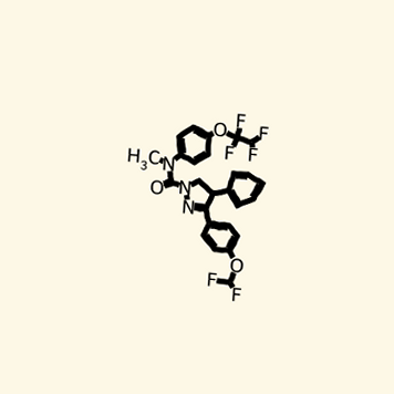 CN(C(=O)N1CC(c2ccccc2)C(c2ccc(OC(F)F)cc2)=N1)c1ccc(OC(F)(F)C(F)F)cc1